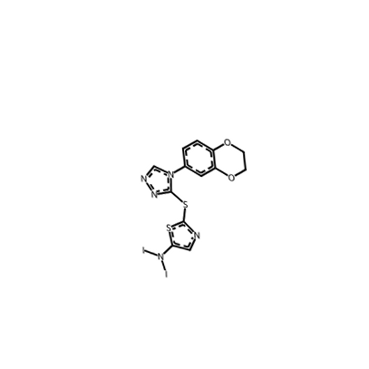 IN(I)c1cnc(Sc2nncn2-c2ccc3c(c2)OCCO3)s1